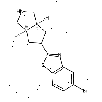 Brc1ccc2sc(C3C[C@H]4CNC[C@H]4C3)nc2c1